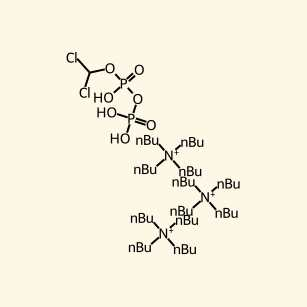 CCCC[N+](CCCC)(CCCC)CCCC.CCCC[N+](CCCC)(CCCC)CCCC.CCCC[N+](CCCC)(CCCC)CCCC.O=P(O)(O)OP(=O)(O)OC(Cl)Cl